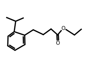 CCOC(=O)CCCc1ccccc1C(C)C